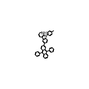 Cc1ccc(-n2c3c(c4cc(-c5ccc6c(-c7ccccc7)c7ccccc7c(-c7ccccc7)c6c5)ccc42)C=CCN3)cc1